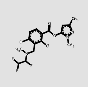 Cc1cc(OC(=O)c2ccc(Cl)c(CN(C)C(F)C(F)F)c2Cl)n(C)n1